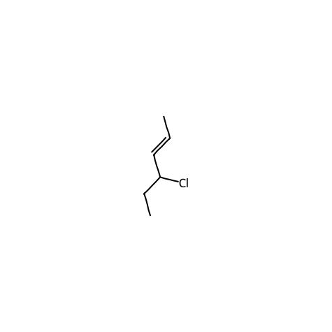 CC=CC(Cl)CC